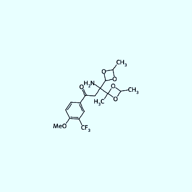 COc1ccc(C(=O)CC(N)(C2OC(C)O2)C2(C)OC(C)O2)cc1C(F)(F)F